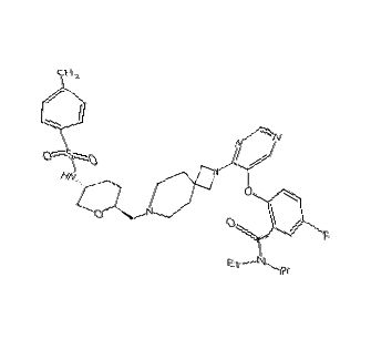 CCN(C(=O)c1cc(F)ccc1Oc1cncnc1N1CC2(CCN(C[C@@H]3CC[C@@H](NS(=O)(=O)c4ccc(C)cc4)CO3)CC2)C1)C(C)C